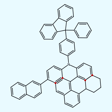 c1ccc(C2(c3ccc(N(c4ccc(-c5ccc6ccccc6c5)cc4)c4ccccc4-c4cccc5cccc(C6CCCCC6)c45)cc3)c3ccccc3-c3ccccc32)cc1